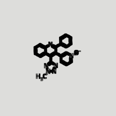 Cn1nnc(-c2c(-c3ccc[n+]([O-])c3)c(-c3ccccc3)nc3ccccc23)n1